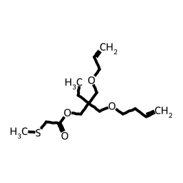 C=CCCOCC(CC)(COCC=C)COC(=O)CSC